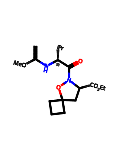 C=C(N[C@H](C(=O)N1OC2(CCC2)CC1C(=O)OCC)C(C)C)OC